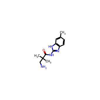 Cc1ccc2nc(NC(=O)C(C)(C)CN)[nH]c2c1